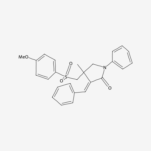 COc1ccc(S(=O)(=O)CC2(C)CN(c3ccccc3)C(=O)/C2=C/c2ccccc2)cc1